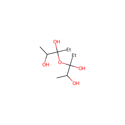 CCC(O)(OC(O)(CC)C(C)O)C(C)O